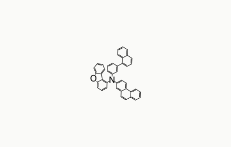 c1cc(-c2cccc3ccccc23)cc(N(c2ccc3c(ccc4ccccc43)c2)c2cccc3oc4ccccc4c23)c1